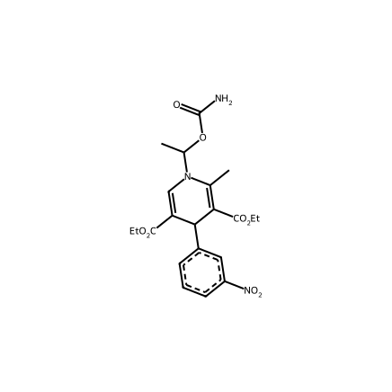 CCOC(=O)C1=CN(C(C)OC(N)=O)C(C)=C(C(=O)OCC)C1c1cccc([N+](=O)[O-])c1